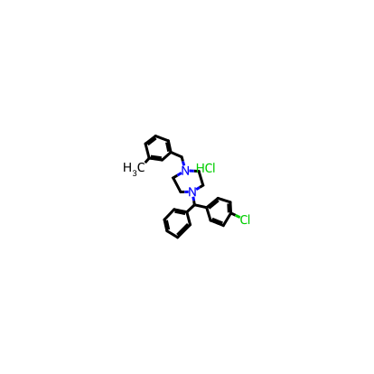 Cc1cccc(CN2CCN(C(c3ccccc3)c3ccc(Cl)cc3)CC2)c1.Cl